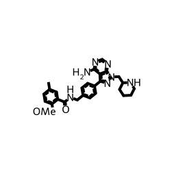 COc1ccc(C)cc1C(=O)NCc1ccc(-c2nn(CC3CCCCN3)c3ncnc(N)c23)cc1